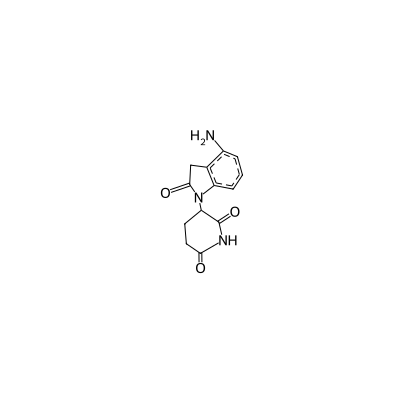 Nc1cccc2c1CC(=O)N2C1CCC(=O)NC1=O